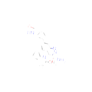 C[C@H](C1CC1)N(c1ccccc1)c1c(C(N)=O)nnc2cc(-c3ccc4c(c3)NC(=O)C4)ccc12